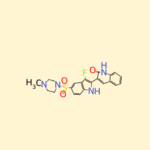 CN1CCN(S(=O)(=O)c2ccc3[nH]c(-c4cc5ccccc5[nH]c4=O)c(F)c3c2)CC1